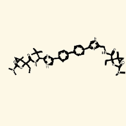 CCC(OC(=O)N(C)C)(C(=O)NCc1nc(-c2ccc(-c3ccc(-c4c[nH]c(C(NC(=O)C(CC)(OC(=O)N(C)C)C5(C)CC5)C(C)(C)C)n4)cc3)cc2)c[nH]1)C1(C)CC1